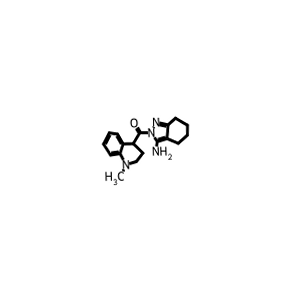 CN1CCC(C(=O)n2nc3c(c2N)CCCC3)c2ccccc21